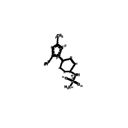 Cc1cc(C(C)C)n(C2CCC(NS(C)(=O)=O)CC2)n1